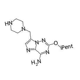 CCCC(C)Oc1nc(N)c2ncc(CN3CCNCC3)n2n1